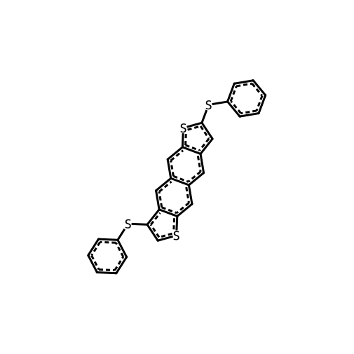 c1ccc(Sc2cc3cc4cc5scc(Sc6ccccc6)c5cc4cc3s2)cc1